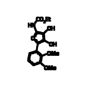 CCOC(=O)Nc1oc(-c2cccc(OC)c2OC)c(O)c1O